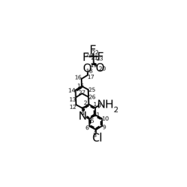 Nc1c2c(nc3cc(Cl)ccc13)CC1C=C(CCOC(=O)C(F)(F)F)CC2C1